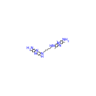 CC1=CC2=Nc3cc(C)c(N)cc3N(C)C2C=C1NCCCCCCCCNc1cc2c(cc1C)nc1cc(C)c(N)cc1[n+]2C